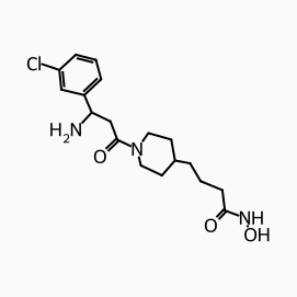 NC(CC(=O)N1CCC(CCCC(=O)NO)CC1)c1cccc(Cl)c1